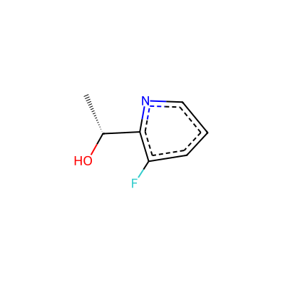 C[C@@H](O)c1ncccc1F